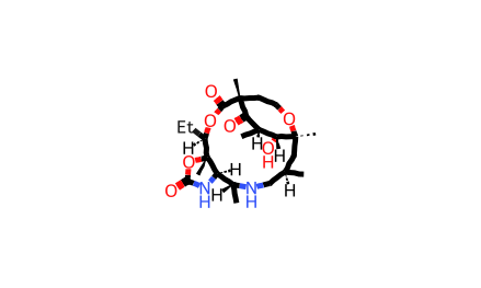 CC[C@H]1OC(=O)[C@]2(C)CCO[C@@](C)(C[C@@H](C)CN[C@H](C)[C@H]3NC(=O)O[C@@]31C)[C@H](O)[C@@H](C)C2=O